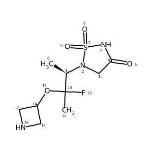 C[C@@H](N1CC(=O)NS1(=O)=O)C(C)(F)OC1CNC1